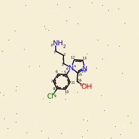 NCCC[N+]1(c2ccc(Cl)cc2)C=CN=C1CO